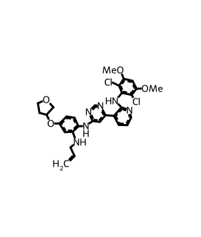 C=CCNc1cc(OC2CCOC2)ccc1Nc1cc(-c2cccnc2Nc2c(Cl)c(OC)cc(OC)c2Cl)ncn1